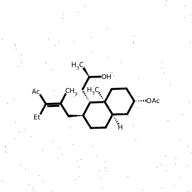 CC/C(C(C)=O)=C(/C)C[C@@H]1CC[C@@H]2C[C@@H](OC(C)=O)CC[C@]2(C)[C@H]1C[C@@H](C)O